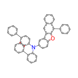 c1ccc(-c2ccc(N(c3ccc4oc5c(-c6ccccc6)c6ccccc6cc5c4c3)c3ccccc3-c3ccccc3)cc2)cc1